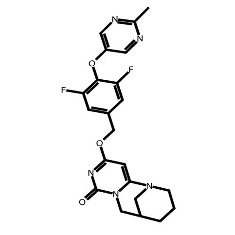 Cc1ncc(Oc2c(F)cc(COc3cc4n(c(=O)n3)CC3CCCN4C3)cc2F)cn1